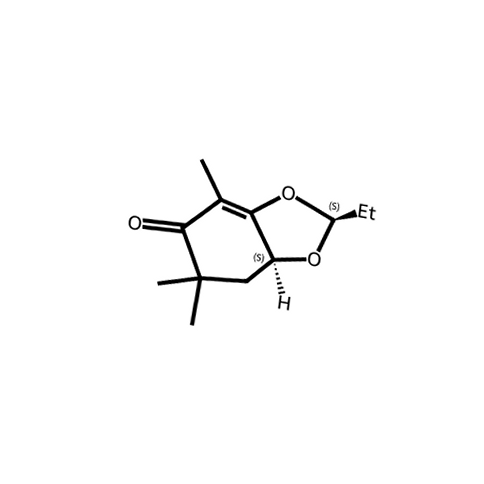 CC[C@@H]1OC2=C(C)C(=O)C(C)(C)C[C@@H]2O1